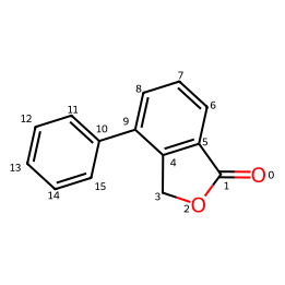 O=C1OCc2c1cccc2-c1ccccc1